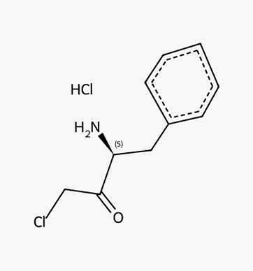 Cl.N[C@@H](Cc1ccccc1)C(=O)CCl